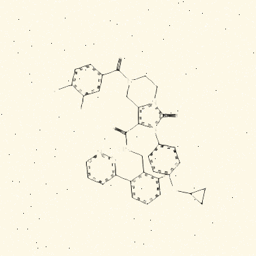 C[C@@H]1Cn2c(c(C(=O)NCc3c(F)cccc3-c3cccnn3)n(-c3ccc(OC4CC4)cc3)c2=O)CN1C(=O)c1ccc(Br)c(Cl)c1